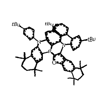 CC(C)(C)c1ccc(N2c3cc4c(cc3B3c5oc6cc7c(cc6c5N(c5ccc(C(C)(C)C)cc5-c5ccccc5)c5cc(C(C)(C)C)cc2c53)C(C)(C)CCC7(C)C)C(C)(C)CCC4(C)C)cc1